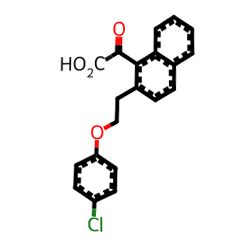 O=C(O)C(=O)c1c(CCOc2ccc(Cl)cc2)ccc2ccccc12